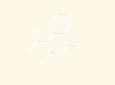 CCC(O)N(C(=O)OC)c1ccccc1N(C)C